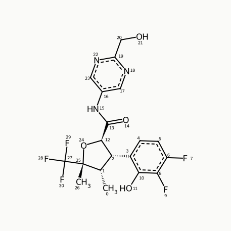 C[C@H]1[C@@H](c2ccc(F)c(F)c2O)[C@H](C(=O)Nc2cnc(CO)nc2)O[C@@]1(C)C(F)(F)F